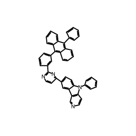 c1ccc(-c2c3ccccc3c(-c3cccc(-c4nccc(-c5ccc6c(c5)c5cnccc5n6-c5ccccc5)n4)c3)c3ccccc23)cc1